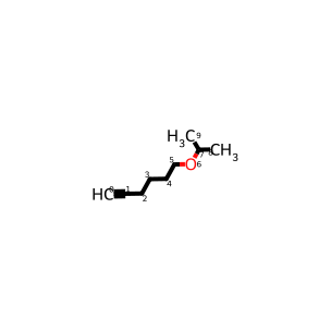 C#CCCCCOC(C)C